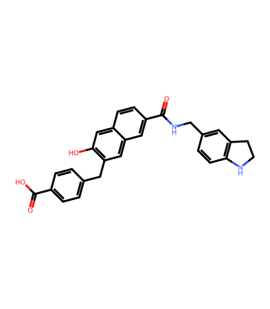 O=C(O)c1ccc(Cc2cc3cc(C(=O)NCc4ccc5c(c4)CCN5)ccc3cc2O)cc1